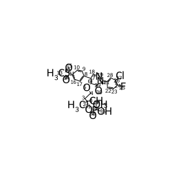 CC(C)(CCOc1c(-c2ccc(S(C)(=O)=O)cc2)cnn(-c2ccc(F)c(Cl)c2)c1=O)OP(=O)(O)O